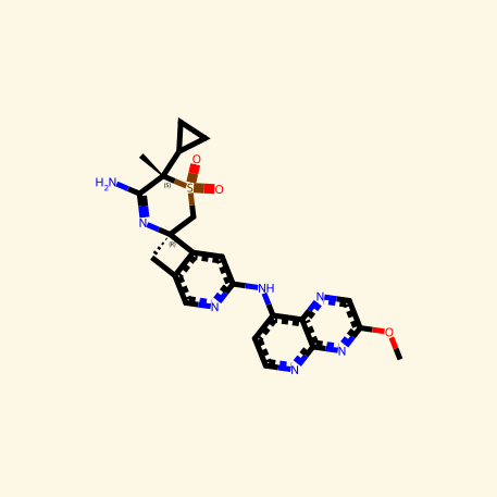 COc1cnc2c(Nc3cc4c(cn3)C[C@]43CS(=O)(=O)[C@@](C)(C4CC4)C(N)=N3)ccnc2n1